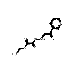 CCOC(=O)C(=O)ONCC(=O)c1cccnc1